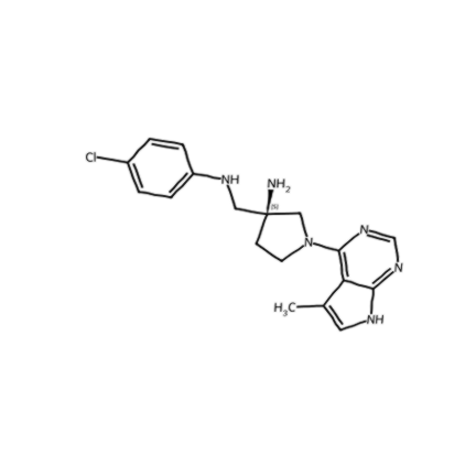 Cc1c[nH]c2ncnc(N3CC[C@](N)(CNc4ccc(Cl)cc4)C3)c12